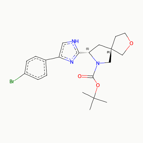 CC(C)(C)OC(=O)N1C[C@]2(CCOC2)C[C@H]1c1nc(-c2ccc(Br)cc2)c[nH]1